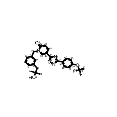 CC(C)(O)Cc1cccc(Cn2cc(-c3nc(-c4ccc(OC(F)(F)F)cc4)no3)ccc2=O)c1